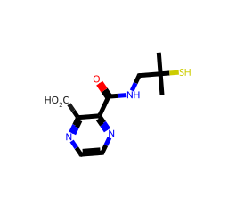 CC(C)(S)CNC(=O)c1nccnc1C(=O)O